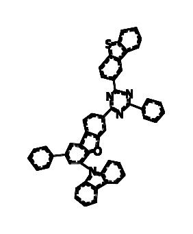 c1ccc(-c2cc(-n3c4ccccc4c4ccccc43)c3oc4cc(-c5nc(-c6ccccc6)nc(-c6ccc7sc8ccccc8c7c6)n5)ccc4c3c2)cc1